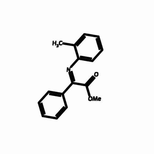 COC(=O)C(=Nc1ccccc1C)c1ccccc1